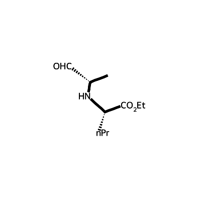 CCC[C@H](N[C@@H](C)C=O)C(=O)OCC